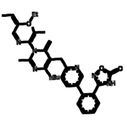 C=C1C(Cc2ccc(-c3ccccc3-c3noc(=O)[nH]3)cn2)=C(CCCC)N=C(C)N1C(/N=C\C(=C/C)OCC)=C(C)C